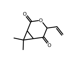 C=C[C]1OC(=O)C2C(C1=O)C2(C)C